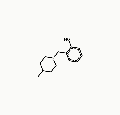 CC1CCN(Cc2ccccc2O)CC1